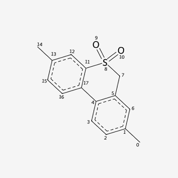 Cc1ccc2c(c1)CS(=O)(=O)c1cc(C)ccc1-2